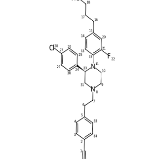 N#Cc1ccc(CCN2CCN(c3ccc(CCCO)cc3F)[C@H](c3ccc(Cl)cc3)C2)cc1